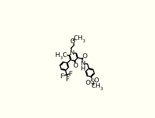 COCCn1cc(C(=O)NCc2ccc(S(C)(=O)=O)cc2)c(=O)c(-c2cccc(C(F)(F)F)c2)c1C